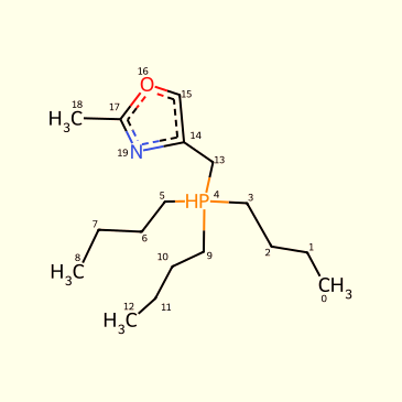 CCCC[PH](CCCC)(CCCC)Cc1coc(C)n1